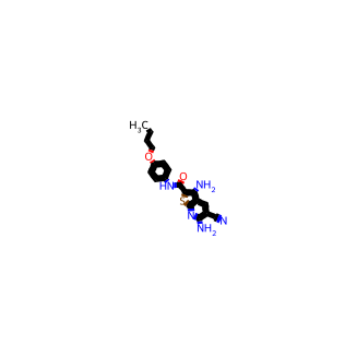 CCCCOc1ccc(NC(=O)c2sc3nc(N)c(C#N)cc3c2N)cc1